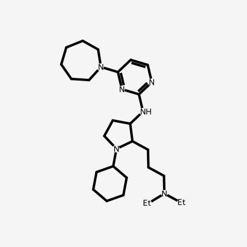 CCN(CC)CCCC1C(Nc2nccc(N3CCCCCC3)n2)CCN1C1CCCCC1